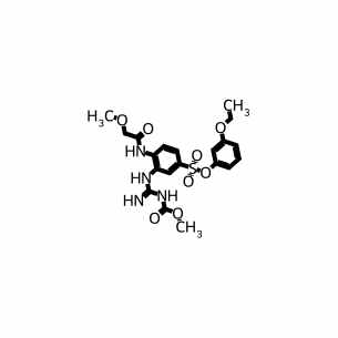 CCOc1cccc(OS(=O)(=O)c2ccc(NC(=O)COC)c(NC(=N)NC(=O)OC)c2)c1